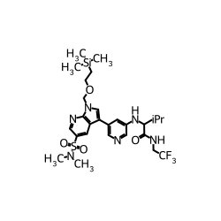 CC(C)C(Nc1cncc(-c2cn(COCC[Si](C)(C)C)c3ncc(S(=O)(=O)N(C)C)cc23)c1)C(=O)NCC(F)(F)F